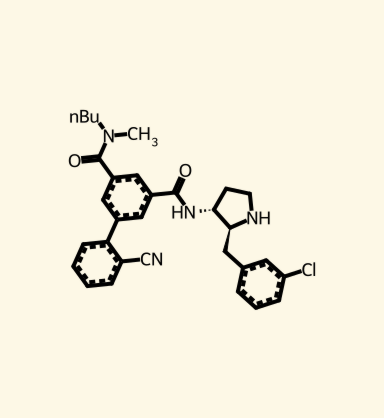 CCCCN(C)C(=O)c1cc(C(=O)N[C@@H]2CCN[C@H]2Cc2cccc(Cl)c2)cc(-c2ccccc2C#N)c1